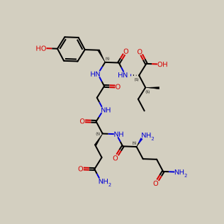 CC[C@H](C)[C@H](NC(=O)[C@H](Cc1ccc(O)cc1)NC(=O)CNC(=O)[C@H](CCC(N)=O)NC(=O)[C@@H](N)CCC(N)=O)C(=O)O